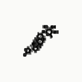 C[C@H]1O[C@H](O[C@H]2CC[C@@]3(C)[C@H](CC[C@@H]4[C@@H]3CC[C@]3(C)[C@@H](C5=CC(=O)OC5)CC[C@]43O)C2)[C@H](O)[C@H](O)[C@@H]1O